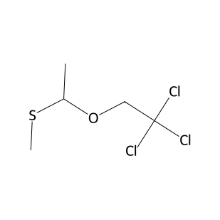 CSC(C)OCC(Cl)(Cl)Cl